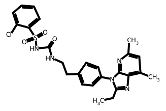 CCc1nc2c(C)cc(C)nc2n1-c1ccc(CCNC(=O)NS(=O)(=O)c2ccccc2Cl)cc1